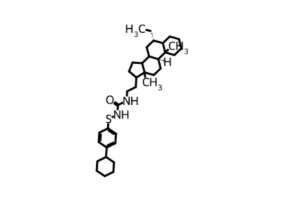 CC[C@H]1CC2C3CCC(CCNC(=O)NSc4ccc(C5CCCCC5)cc4)C3(C)CC[C@@H]2C2(C)CCCCC12